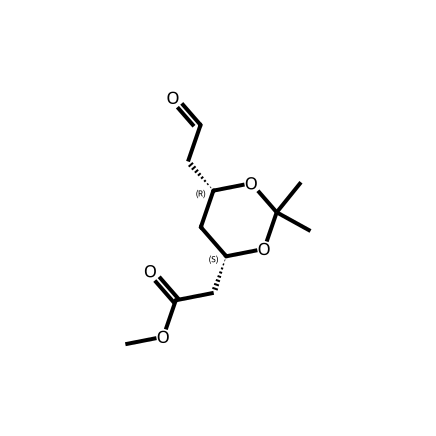 COC(=O)C[C@@H]1C[C@H](CC=O)OC(C)(C)O1